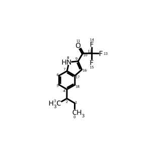 CCC(C)c1ccc2[nH]c(C(=O)C(F)(F)F)cc2c1